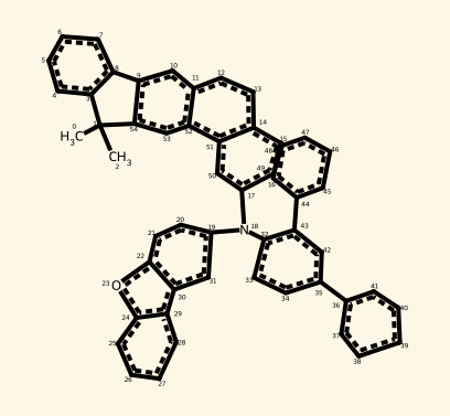 CC1(C)c2ccccc2-c2cc3ccc4ccc(N(c5ccc6oc7ccccc7c6c5)c5ccc(-c6ccccc6)cc5-c5ccccc5)cc4c3cc21